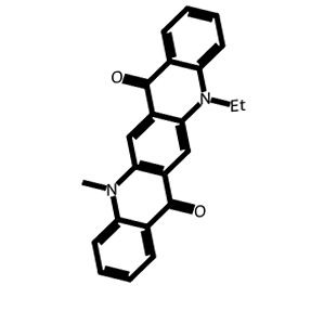 CCn1c2ccccc2c(=O)c2cc3c(cc21)c(=O)c1ccccc1n3C